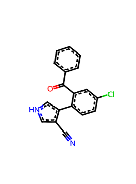 N#Cc1c[nH]cc1-c1ccc(Cl)cc1C(=O)c1ccccc1